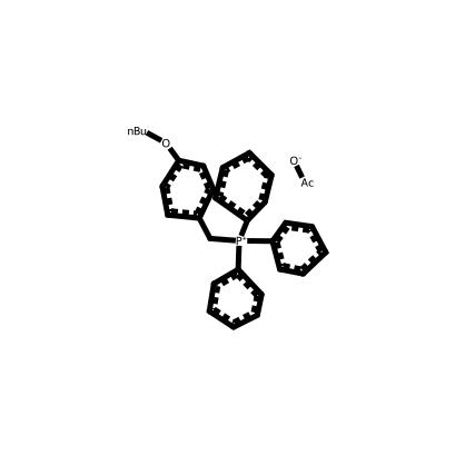 CC(=O)[O-].CCCCOc1ccc(C[P+](c2ccccc2)(c2ccccc2)c2ccccc2)cc1